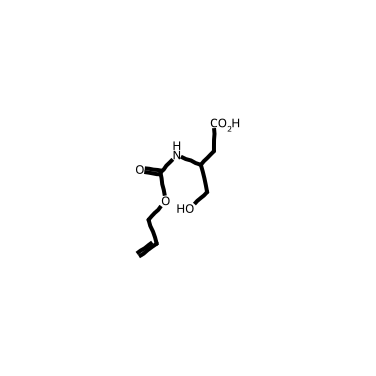 C=CCOC(=O)NC(CO)CC(=O)O